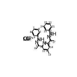 CC(=NNc1ccccc1)c1cc(C)cc(C(C)=NNc2ccccc2)n1.[Cl-].[Cl-].[Co+2]